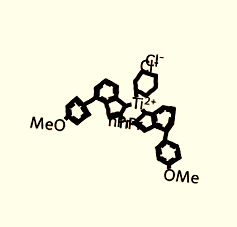 CCCC1=Cc2c(-c3ccc(OC)cc3)cccc2[CH]1[Ti+2]1([CH]2C(CCC)=Cc3c(-c4ccc(OC)cc4)cccc32)[CH]2CCCC[CH]21.[Cl-].[Cl-]